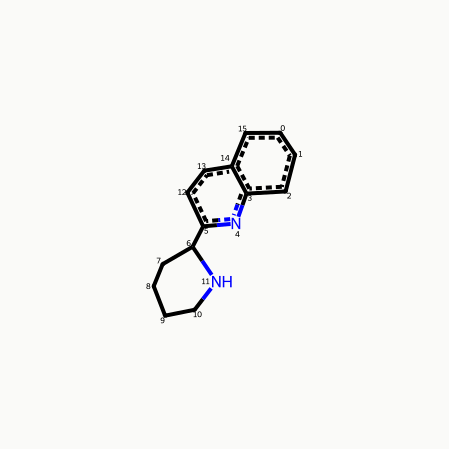 c1ccc2nc(C3CCCCN3)ccc2c1